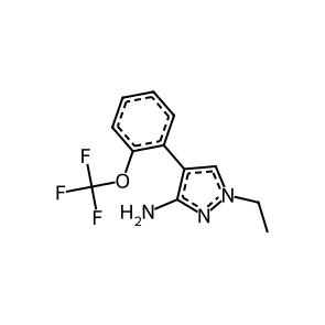 CCn1cc(-c2ccccc2OC(F)(F)F)c(N)n1